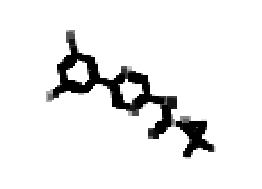 CC1(C)C[C@H]1C(=O)Nc1cnc(-c2cc(F)cc(F)c2)cn1